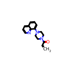 C=CC(=O)N1CCN(c2cccc3cccnc23)CC1